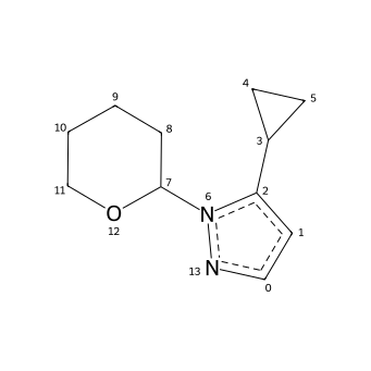 c1cc(C2CC2)n(C2CCCCO2)n1